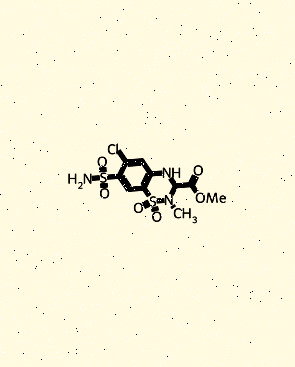 COC(=O)C1Nc2cc(Cl)c(S(N)(=O)=O)cc2S(=O)(=O)N1C